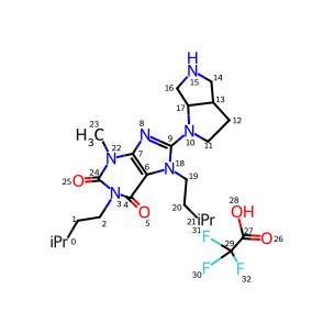 CC(C)CCn1c(=O)c2c(nc(N3CCC4CNCC43)n2CCC(C)C)n(C)c1=O.O=C(O)C(F)(F)F